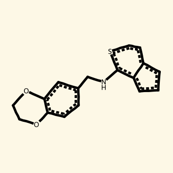 c1cc2ccsc(NCc3ccc4c(c3)OCCO4)c-2c1